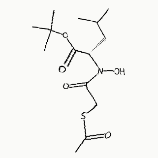 CC(=O)SCC(=O)N(O)[C@@H](CC(C)C)C(=O)OC(C)(C)C